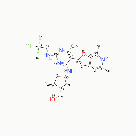 Cc1cc2cc(-c3c(Cl)nc(NCC(F)(F)F)nc3N[C@@H]3C[C@H](CO)[C@@H](C)C3)oc2c(C)n1